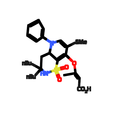 CCCCC1(CCCC)CC2C(=C(O/C(C)=C/C(=O)O)C(SC)=CN2c2ccccc2)S(=O)(=O)N1